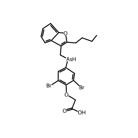 CCCCc1oc2ccccc2c1C[AsH]c1cc(Br)c(OCC(=O)O)c(Br)c1